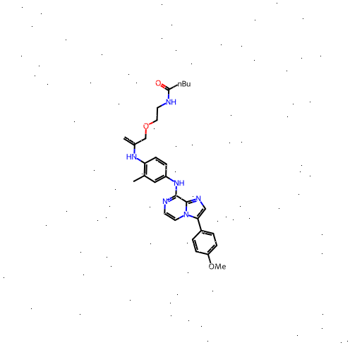 C=C(COCCNC(=O)CCCC)Nc1ccc(Nc2nccn3c(-c4ccc(OC)cc4)cnc23)cc1C